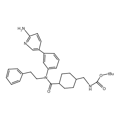 CC(C)(C)OC(=O)NCC1CCC(C(=O)N(CCc2ccccc2)c2cccc(-c3ccc(N)nc3)c2)CC1